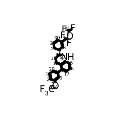 FC(F)OC(F)(F)C1=CC([C@H]2CCc3c(cccc3-c3cccc(OC(F)(F)F)c3)N2)CC=C1